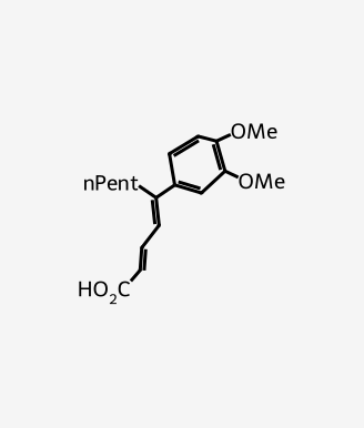 CCCCCC(=CC=CC(=O)O)c1ccc(OC)c(OC)c1